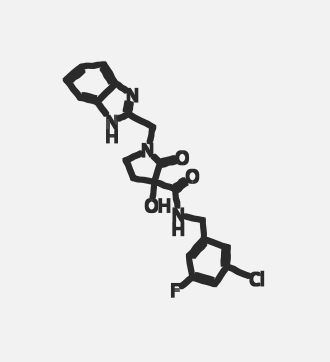 O=C(NCc1cc(F)cc(Cl)c1)C1(O)CCN(Cc2nc3ccccc3[nH]2)C1=O